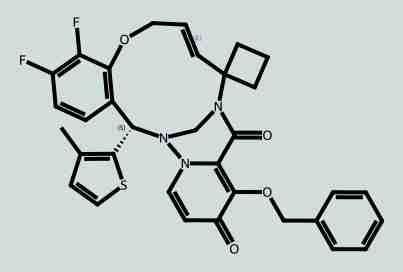 Cc1ccsc1[C@@H]1c2ccc(F)c(F)c2OC/C=C/C2(CCC2)N2CN1n1ccc(=O)c(OCc3ccccc3)c1C2=O